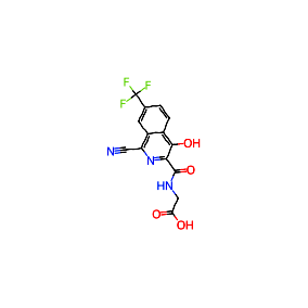 N#Cc1nc(C(=O)NCC(=O)O)c(O)c2ccc(C(F)(F)F)cc12